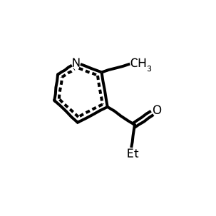 CCC(=O)c1cccnc1C